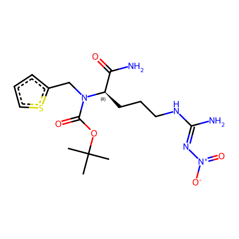 CC(C)(C)OC(=O)N(Cc1cccs1)[C@H](CCCNC(N)=N[N+](=O)[O-])C(N)=O